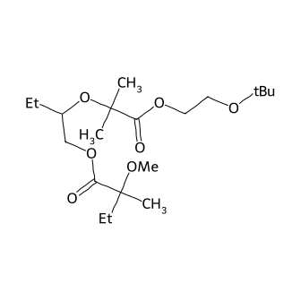 CCC(COC(=O)C(C)(CC)OC)OC(C)(C)C(=O)OCCOC(C)(C)C